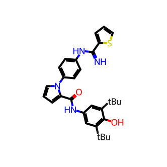 CC(C)(C)c1cc(NC(=O)c2cccn2-c2ccc(NC(=N)c3cccs3)cc2)cc(C(C)(C)C)c1O